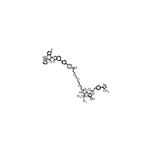 Cc1ncsc1-c1ccc(CNC(=O)[C@@H]2C[C@@H](O)CN2C(=O)C(NC(=O)CCOCCOCCOCCC(=O)N2CCN(c3ccc(-c4ccc5c(c4)C(=O)N(C(C(=O)Nc4nccs4)c4cc(F)ccc4O)C5)cc3)CC2)C(C)(C)C)cc1